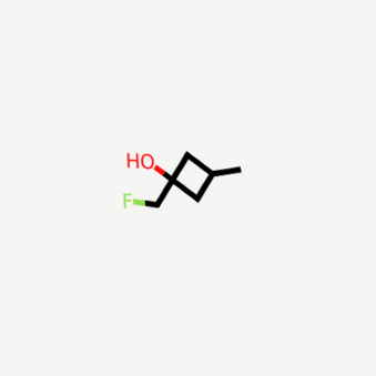 CC1CC(O)(CF)C1